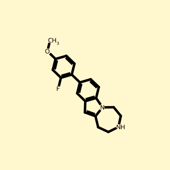 COc1ccc(-c2ccc3c(c2)cc2n3CCNCC2)c(F)c1